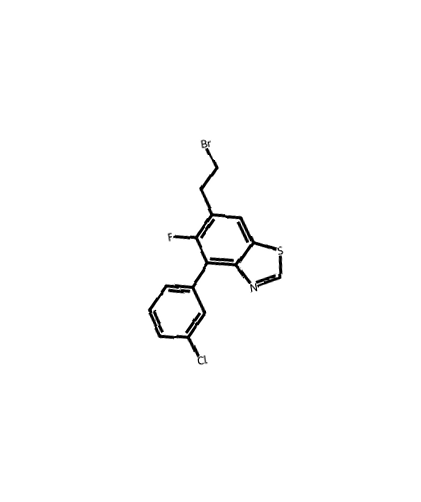 Fc1c(CCBr)cc2scnc2c1-c1cccc(Cl)c1